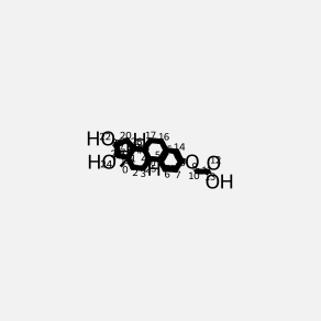 C[C@]12CC[C@@H]3c4ccc(OCC(=O)O)cc4CC[C@H]3[C@@H]1C[C@@H](O)[C@@H]2O